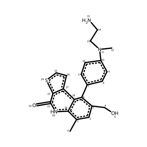 Cc1cc(CO)c(-c2ccc(N(C)CCN)cc2)c2c1[nH]c(=O)c1sccc12